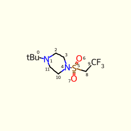 CC(C)(C)N1CCN(S(=O)(=O)CC(F)(F)F)CC1